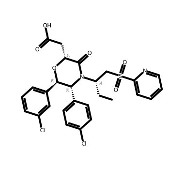 CC[C@@H](CS(=O)(=O)c1ccccn1)N1C(=O)[C@@H](CC(=O)O)O[C@H](c2cccc(Cl)c2)[C@H]1c1ccc(Cl)cc1